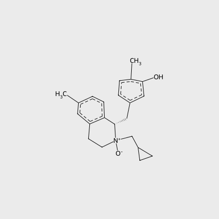 Cc1ccc2c(c1)CC[N+]([O-])(CC1CC1)[C@H]2Cc1ccc(C)c(O)c1